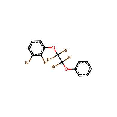 Brc1cccc(OC(Br)(Br)C(Br)(Br)Oc2ccccc2)c1Br